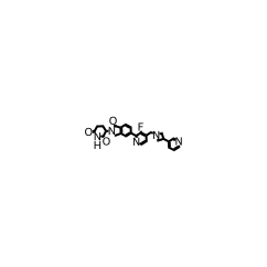 O=C1CCC(N2Cc3cc(-c4nccc(CN5CC(c6cccnc6)C5)c4F)ccc3C2=O)C(=O)N1